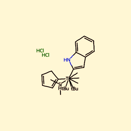 C[SiH](C)[Ti]([CH3])([CH3])([CH3])([CH3])([C]1=CC=CC1)([c]1cc2ccccc2[nH]1)([C](C)(C)C)[C](C)(C)C.Cl.Cl